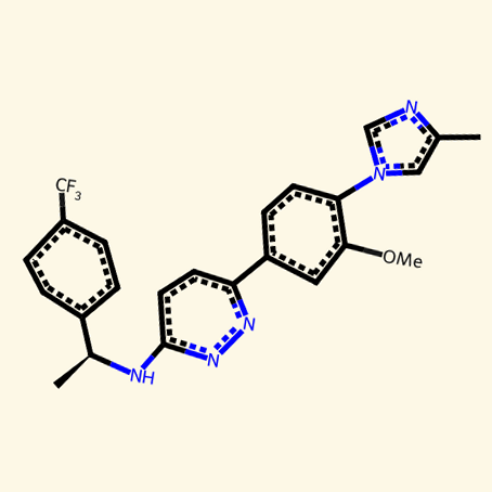 COc1cc(-c2ccc(N[C@@H](C)c3ccc(C(F)(F)F)cc3)nn2)ccc1-n1cnc(C)c1